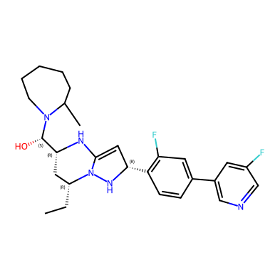 CC[C@@H]1C[C@H]([C@H](O)N2CCCCCC2C)NC2=C[C@H](c3ccc(-c4cncc(F)c4)cc3F)NN21